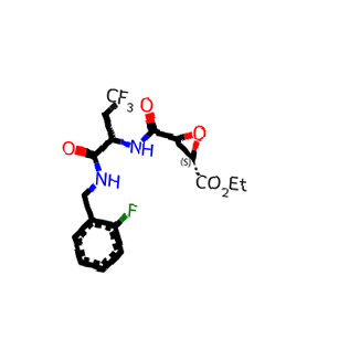 CCOC(=O)[C@H]1OC1C(=O)NC(CC(F)(F)F)C(=O)NCc1ccccc1F